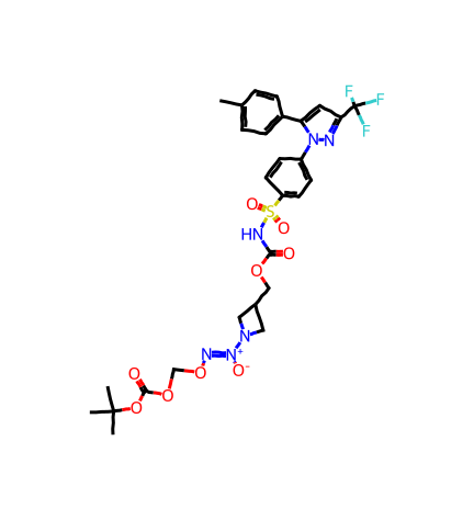 Cc1ccc(-c2cc(C(F)(F)F)nn2-c2ccc(S(=O)(=O)NC(=O)OCC3CN([N+]([O-])=NOCOC(=O)OC(C)(C)C)C3)cc2)cc1